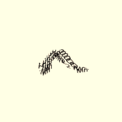 O.O.O.O.O.O.O.O.O.O.O.O.[Mn].[Mn].[Mn].[Mn]